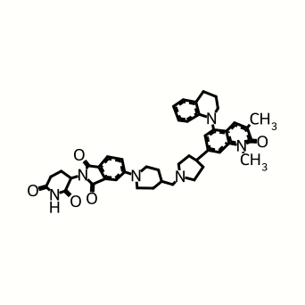 Cc1cc2c(N3CCCc4ccccc43)cc(C3CCN(CC4CCN(c5ccc6c(c5)C(=O)N(C5CCC(=O)NC5=O)C6=O)CC4)CC3)cc2n(C)c1=O